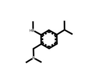 CBc1cc(C(C)C)ccc1CN(C)C